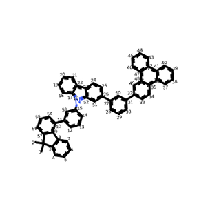 CC1(C)c2ccccc2-c2c(-c3cccc(-n4c5ccccc5c5ccc(-c6cccc(-c7ccc8c9ccccc9c9ccccc9c8c7)c6)cc54)c3)cccc21